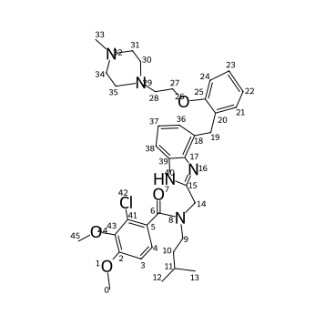 COc1ccc(C(=O)N(CCC(C)C)Cc2nc3c(Cc4ccccc4OCCN4CCN(C)CC4)cccc3[nH]2)c(Cl)c1OC